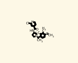 COc1ccc(C(C)N2CC[C@@H](NC(=O)c3ccnc(Cl)c3)C2)c(C)c1C